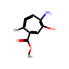 CCC(C)OC(=O)C1=CC(O)=C(N)C=C=C1N=O